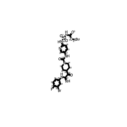 CC(C)(C)OC(=O)NS(=O)(=O)Nc1ccc(NC(=O)N2CCC(C(=O)C(=N)Nc3ccc(F)c(Br)c3)CC2)cn1